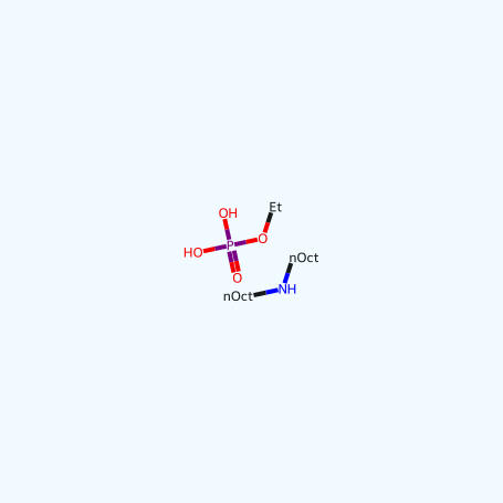 CCCCCCCCNCCCCCCCC.CCOP(=O)(O)O